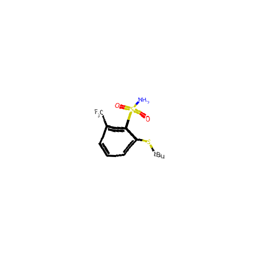 CC(C)(C)Sc1cccc(C(F)(F)F)c1S(N)(=O)=O